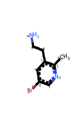 Cc1ncc(Br)cc1CCN